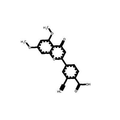 C#Cc1cc(-c2cc(=O)c3c(OC)cc(OC)cc3o2)ccc1C(=O)O